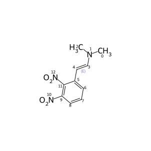 CN(C)/C=C/c1cccc([N+](=O)[O-])c1[N+](=O)[O-]